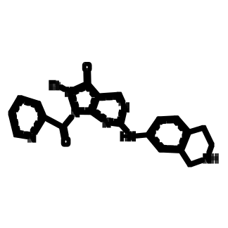 CCn1c(=O)c2cnc(Nc3ccc4c(c3)CNCC4)nc2n1C(=O)c1ccccn1